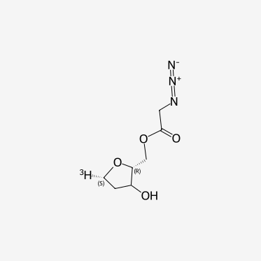 [3H][C@H]1CC(O)[C@@H](COC(=O)CN=[N+]=[N-])O1